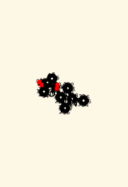 C1=CC2c3ccccc3C3(c4ccccc4Oc4c(-c5ccc(-c6ccccc6-c6nc(-c7ccccc7)cc(-c7ccccc7)n6)cc5)cccc43)C2C=C1